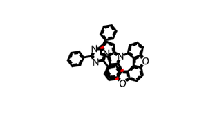 c1ccc(-c2nc(-c3ccccc3)nc(-c3ccc4oc5ccc6oc7cccc(-n8c9ccccc9c9ccccc98)c7c6c5c4c3)n2)cc1